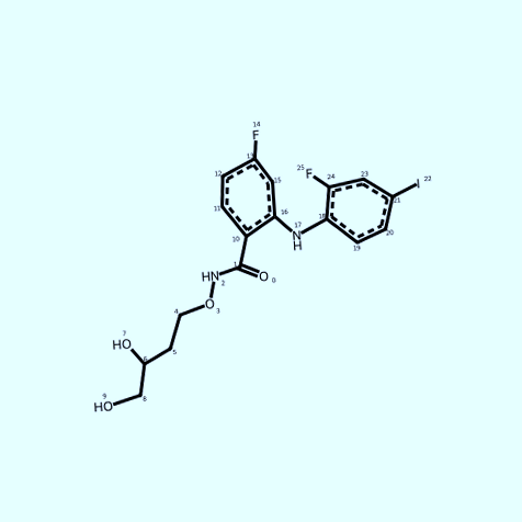 O=C(NOCCC(O)CO)c1ccc(F)cc1Nc1ccc(I)cc1F